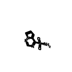 NS(=O)(=O)c1ncnn2cccc12